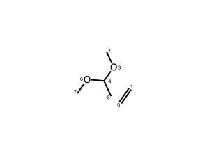 C=C.COC(C)OC